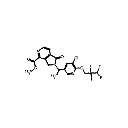 CC(c1cnc(OCC(F)(F)C(F)F)c(Cl)c1)N1Cc2c(ccnc2C(=O)OP)C1=O